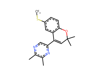 Cc1ncc(C2=CC(C)(C)Oc3ccc(SC(F)(F)F)cc32)nc1C